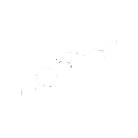 C[C@H]1CC[C@H](NC(=O)NCCC(=O)O)CC1